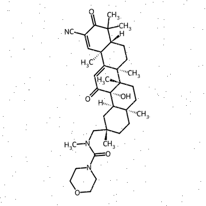 CN(C[C@@]1(C)CC[C@]2(C)CC[C@@]3(C)[C@]4(C)CC[C@H]5C(C)(C)C(=O)C(C#N)=C[C@]5(C)C4=CC(=O)[C@]3(O)[C@@H]2C1)C(=O)N1CCOCC1